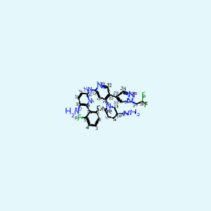 COc1cccc(F)c1-c1nc(Nc2cc(N3CCC[C@H](N)C3)c(-c3cnn(CC(F)F)c3)cn2)ccc1N